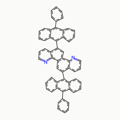 c1ccc(-c2c3ccccc3c(-c3cc4c(cc(-c5c6ccccc6c(-c6ccccc6)c6ccccc56)c5cccnc54)c4ncccc34)c3ccccc23)cc1